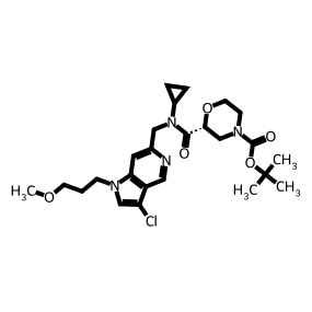 COCCCn1cc(Cl)c2cnc(CN(C(=O)[C@H]3CN(C(=O)OC(C)(C)C)CCO3)C3CC3)cc21